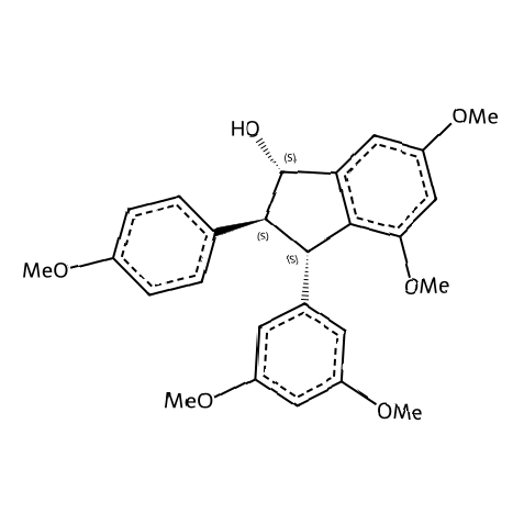 COc1ccc([C@@H]2[C@@H](c3cc(OC)cc(OC)c3)c3c(OC)cc(OC)cc3[C@H]2O)cc1